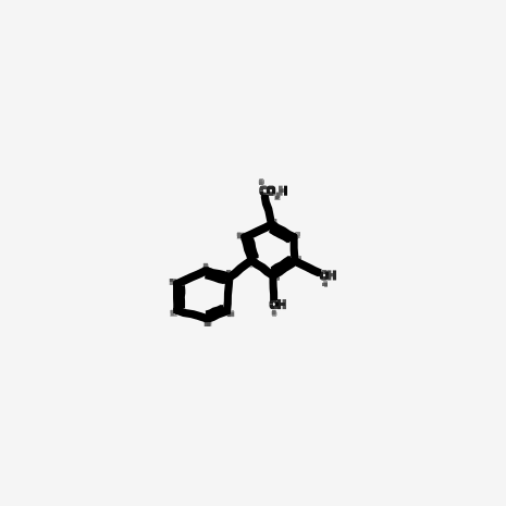 O=C(O)c1cc(O)c(O)c(-c2ccccc2)c1